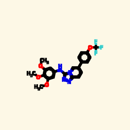 COc1cc(Nc2nnc3ccc(-c4ccc(OC(F)(F)F)cc4)cn23)cc(OC)c1OC